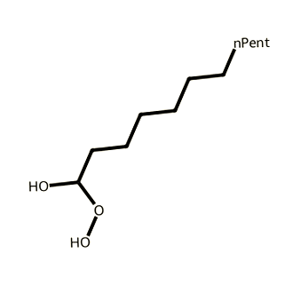 CCCCCCCCCCCC(O)OO